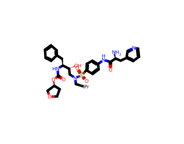 CC(C)CN(C[C@@H](O)[C@H](Cc1ccccc1)NC(=O)O[C@H]1CCOC1)S(=O)(=O)c1ccc(NC(=O)[C@@H](N)Cc2cccnc2)cc1